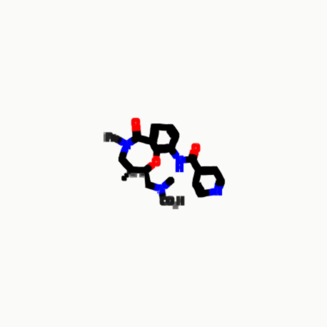 CC(C)N1C[C@@H](C)[C@H](CN(C)C(=O)O)Oc2c(NC(=O)c3ccncc3)cccc2C1=O